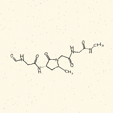 CNC(=O)CNC(=O)CN1C(=O)[C@@H](NC(=O)CNC=O)CC1C